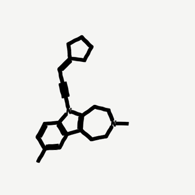 Cc1ccc2c(c1)c1c(n2C#CC=C2CCCC2)CCN(C)CC1